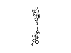 CC(C)(C(=O)Nc1ccc(C#N)c2ccccc12)n1cc(C#CC2CN(c3ccc4c(=O)n(C5CCC(=O)NC5=O)nnc4c3)C2)cn1